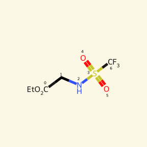 CCOC(=O)CNS(=O)(=O)C(F)(F)F